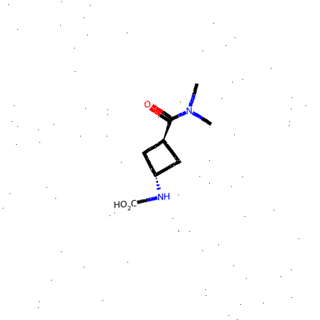 CN(C)C(=O)[C@H]1C[C@H](NC(=O)O)C1